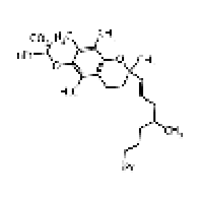 CCCC(Oc1c(C)c(C)c2c(c1C)CCC(C)(C=CCC(C)CCCC(C)C)O2)C(=O)O